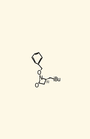 CCC(C)C[C@H]1CC(=O)N1OCc1ccccc1